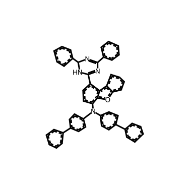 c1ccc(C2=NC(c3ccccc3)NC(c3ccc(N(c4ccc(-c5ccccc5)cc4)c4ccc(-c5ccccc5)cc4)c4oc5ccccc5c34)=N2)cc1